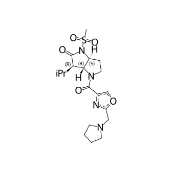 CC(C)[C@H]1C(=O)N(S(C)(=O)=O)[C@H]2CCN(C(=O)c3coc(CN4CCCC4)n3)[C@H]12